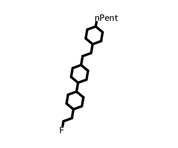 CCCCCC1CCC(CCC2CCC(C3CCC(CCF)CC3)CC2)CC1